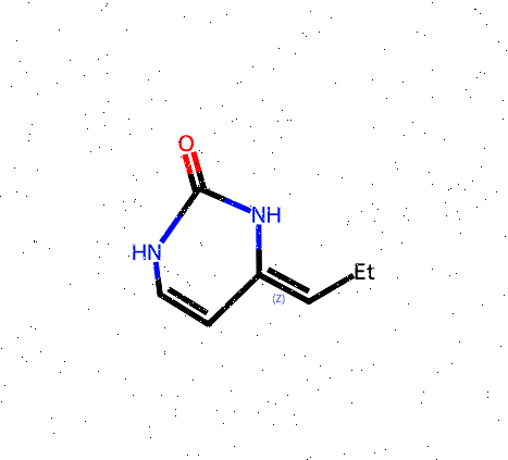 CC/C=C1/C=CNC(=O)N1